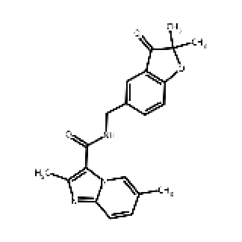 Cc1ccc2nc(C)c(C(=O)NCc3ccc4c(c3)C(=O)C(C)(C)O4)n2c1